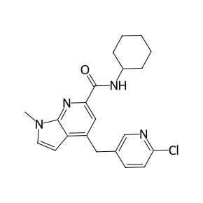 Cn1ccc2c(Cc3ccc(Cl)nc3)cc(C(=O)NC3CCCCC3)nc21